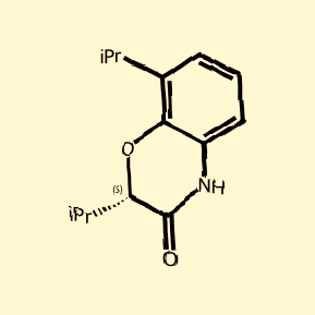 CC(C)c1cccc2c1O[C@@H](C(C)C)C(=O)N2